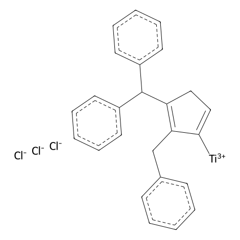 [Cl-].[Cl-].[Cl-].[Ti+3][C]1=CCC(C(c2ccccc2)c2ccccc2)=C1Cc1ccccc1